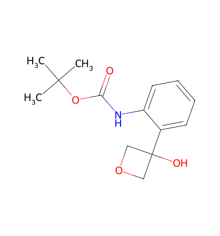 CC(C)(C)OC(=O)Nc1ccccc1C1(O)COC1